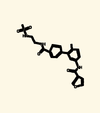 Cc1ccc(NC(=O)c2ccoc2)cc1-c1ccc(C(=O)NCCNS(C)(=O)=O)cc1